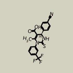 CC1=C(C(=O)O)[C@@H](c2ccc(C#N)cc2)NC(=S)N1c1cccc(C(F)(F)F)c1